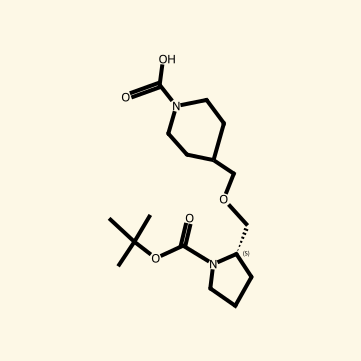 CC(C)(C)OC(=O)N1CCC[C@H]1COCC1CCN(C(=O)O)CC1